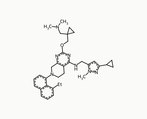 CCc1cccc2cccc(N3CCc4c(nc(OCC5(CN(C)C)CC5)nc4NCc4cc(C5CC5)nn4C)C3)c12